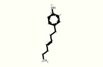 CCC/C=C/CCc1ccc(O)cc1